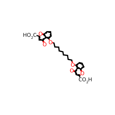 O=C(O)c1cc(=O)c2c(OCCCCCCCCCOc3cccc4oc(C(=O)O)cc(=O)c34)cccc2o1